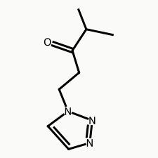 CC(C)C(=O)CCn1ccnn1